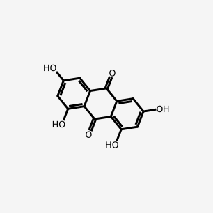 O=C1c2cc(O)cc(O)c2C(=O)c2c(O)cc(O)cc21